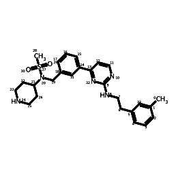 Cc1cccc(CCNc2nccc(-c3cccc(CN(C4CCNCC4)S(C)(=O)=O)c3)n2)c1